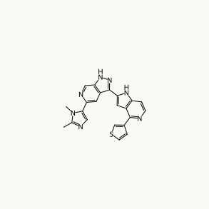 Cc1ncc(-c2cc3c(-c4cc5c(-c6ccsc6)nccc5[nH]4)n[nH]c3cn2)n1C